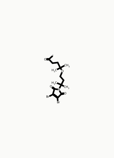 CC(C)(CCC(=O)I)OCCC(C)(C)N1C(=O)C(Br)=C(Br)C1=O